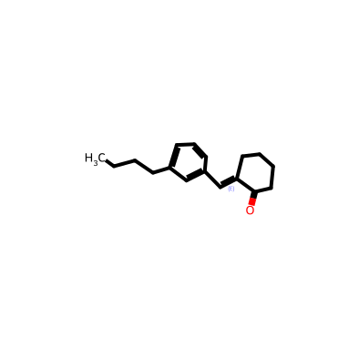 CCCCc1cccc(/C=C2\CCCCC2=O)c1